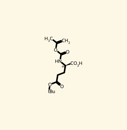 C=C(C)OC(=O)N[C@H](CCC(=O)OC(C)(C)C)C(=O)O